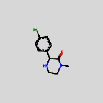 CN1CCNC(c2ccc(Br)cc2)C1=O